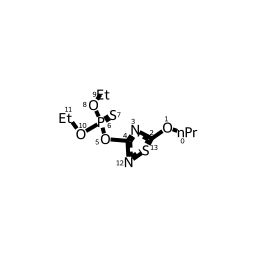 CCCOc1nc(OP(=S)(OCC)OCC)ns1